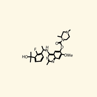 COc1cc2nc(C)nc(NC(C)c3cccc(C(C)(C)O)c3F)c2cc1OC(=O)N1CCN(C)CC1C